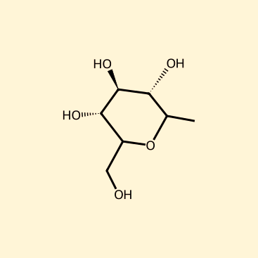 CC1OC(CO)[C@H](O)[C@@H](O)[C@@H]1O